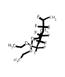 CCO[Si](OCC)(OCC)C(F)(F)C(F)(F)C(F)(F)C(F)(F)C(C)F